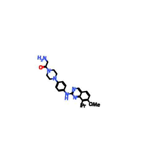 COc1ccc2cnc(Nc3ccc(N4CCN(C(=O)CN)CC4)cc3)nc2c1C(C)C